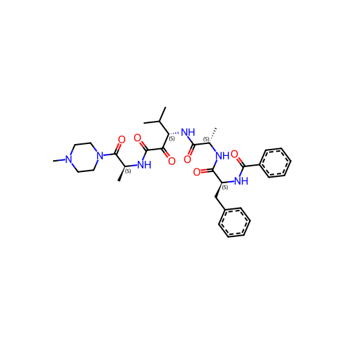 CC(C)[C@H](NC(=O)[C@H](C)NC(=O)[C@H](Cc1ccccc1)NC(=O)c1ccccc1)C(=O)C(=O)N[C@@H](C)C(=O)N1CCN(C)CC1